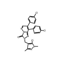 Cc1nn(C)c(Cl)c1Cn1nc2c(-c3ccc(Cl)cc3)c(-c3ccc(Cl)cc3)cnn2c1=O